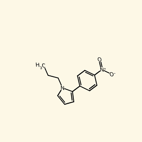 CCCn1cccc1-c1ccc([N+](=O)[O-])cc1